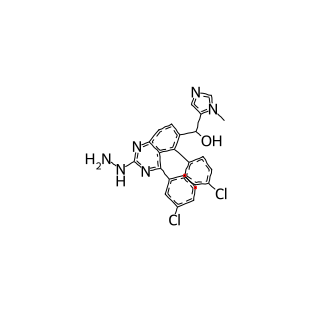 Cn1cncc1C(O)c1ccc2nc(NN)nc(-c3cccc(Cl)c3)c2c1-c1ccc(Cl)cc1